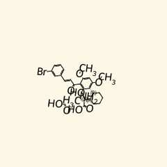 COc1cc(OC)c([C@@H]2CCCC[C@H]2[C@](C)(N)C(=O)O)c(O)c1C(=O)C=Cc1cccc(Br)c1.O=CO